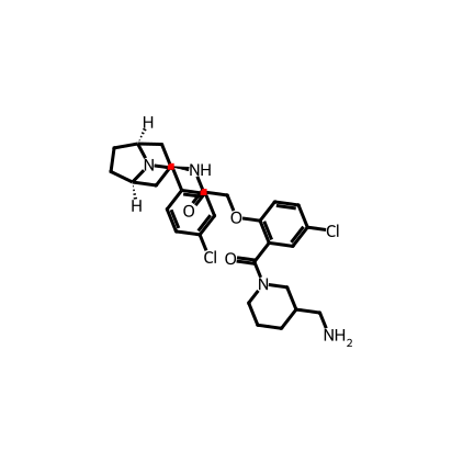 NCC1CCCN(C(=O)c2cc(Cl)ccc2OCC(=O)N[C@H]2C[C@H]3CC[C@@H](C2)N3Cc2ccc(Cl)cc2)C1